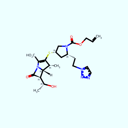 C=CCOC(=O)N1C[C@@H](SC2=C(C(=O)O)N3C(=O)[C@H]([C@@H](C)O)[C@H]3[C@H]2C)C[C@H]1CCn1ccnn1